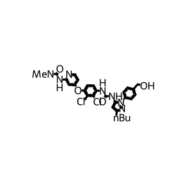 CCCCc1cc(NC(=O)Nc2ccc(Oc3ccnc(NC(=O)NC)c3)c(Cl)c2Cl)n(-c2ccc(CO)cc2)n1